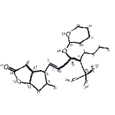 CCCCC(C(/C=C/C1C(C)CC2OC(=O)CC21)OC1CCCCO1)C(F)(F)F